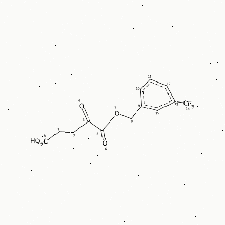 O=C(O)CCC(=O)C(=O)OCc1cccc(C(F)(F)F)c1